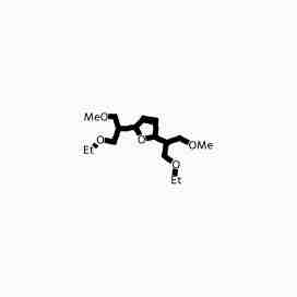 CCOCC(COC)C1C=CC(C(COC)COCC)O1